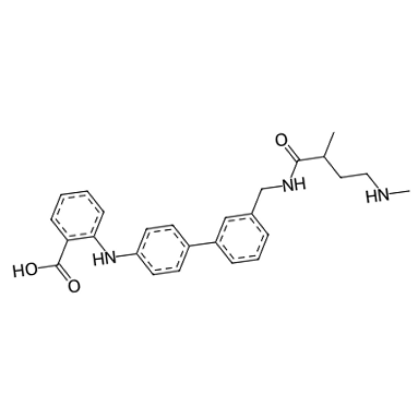 CNCCC(C)C(=O)NCc1cccc(-c2ccc(Nc3ccccc3C(=O)O)cc2)c1